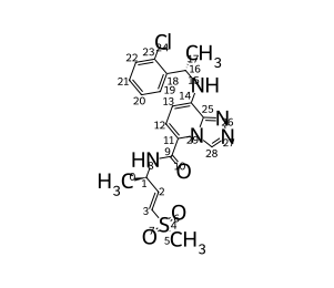 C[C@H](/C=C/S(C)(=O)=O)NC(=O)c1ccc(N[C@@H](C)c2ccccc2Cl)c2nncn12